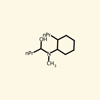 CCCC1CCCCC1N(C)C(O)CCC